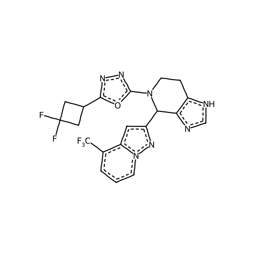 FC1(F)CC(c2nnc(N3CCc4[nH]cnc4C3c3cc4c(C(F)(F)F)cccn4n3)o2)C1